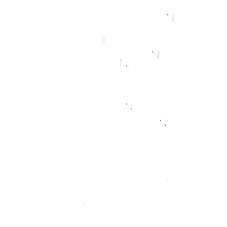 Cc1cc2c(cc1CO)-c1nc(/C(=N/C=N)NC(C)C)cn1CCO2